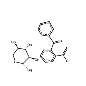 O=C(c1ccccc1)c1ccccc1[N+](=O)[O-].O[C@@H]1[C@@H](O)[C@H](O)OC[C@H]1O